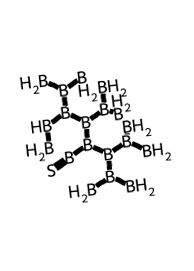 BBB(B(B)B)B(B(B)B)B(B=S)B(B(B)B)B(B)B